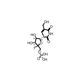 O=c1[nH]c(=O)n([C@@H]2O[C@](F)(COP(=O)(O)O)[C@@H](O)[C@H]2O)cc1CO